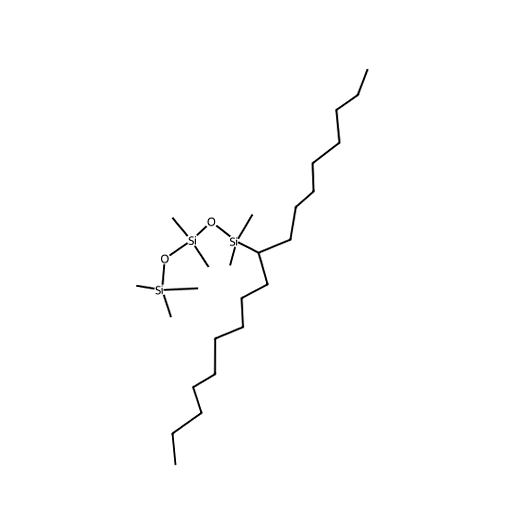 CCCCCCCCCC(CCCCCCCC)[Si](C)(C)O[Si](C)(C)O[Si](C)(C)C